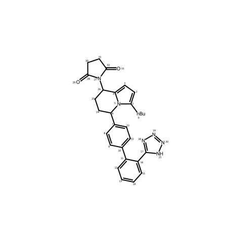 CCCCc1ccc2n1C(c1ccc(-c3ccccc3-c3nnn[nH]3)cc1)CCC2N1C(=O)CCC1=O